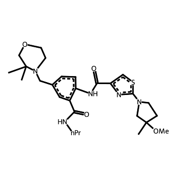 CCCNC(=O)c1cc(CN2CCOCC2(C)C)ccc1NC(=O)c1csc(N2CCC(C)(OC)C2)n1